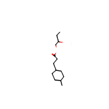 CCC(O)COC(=O)CCC1CCC(C)CC1